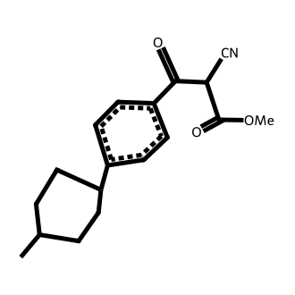 COC(=O)C(C#N)C(=O)c1ccc(C2CCC(C)CC2)cc1